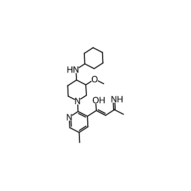 COC1CN(c2ncc(C)cc2/C(O)=C/C(C)=N)CCC1NC1CCCCC1